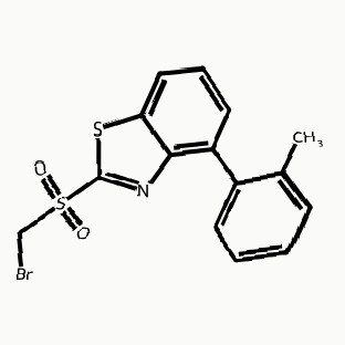 Cc1ccccc1-c1cccc2sc(S(=O)(=O)CBr)nc12